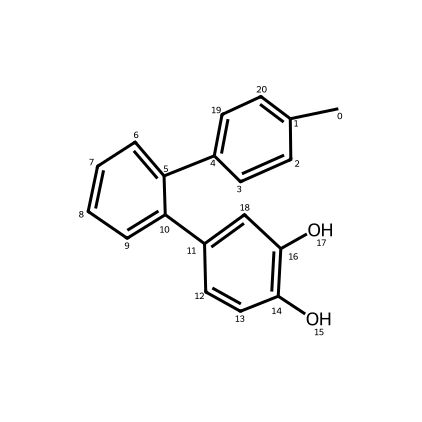 Cc1ccc(-c2ccccc2-c2ccc(O)c(O)c2)cc1